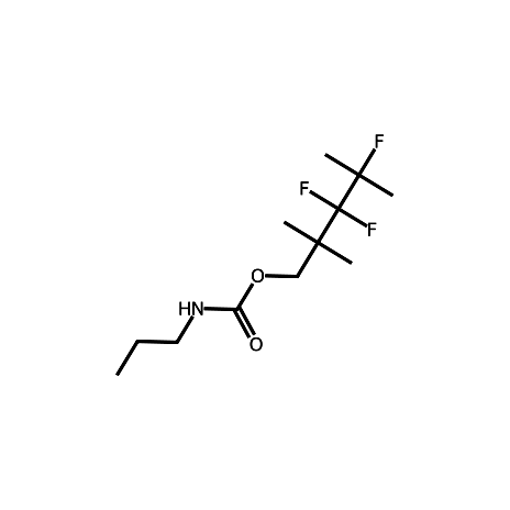 CCCNC(=O)OCC(C)(C)C(F)(F)C(C)(C)F